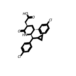 O=C(O)C[C@H]1C[C@H](c2cccc(Cl)c2)[C@@H](C(c2ccc(Cl)cc2)C2CC2)NC1=O